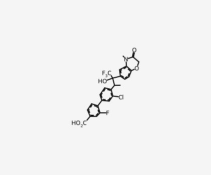 CC(c1ccc(-c2ccc(C(=O)O)cc2F)cc1Cl)C(O)(c1ccc2c(c1)N(C)C(=O)CO2)C(F)(F)F